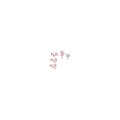 O.O.O.O.[Cr]